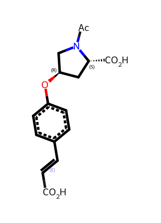 CC(=O)N1C[C@H](Oc2ccc(/C=C/C(=O)O)cc2)C[C@H]1C(=O)O